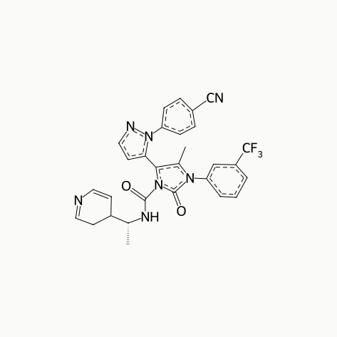 Cc1c(-c2ccnn2-c2ccc(C#N)cc2)n(C(=O)N[C@H](C)C2C=CN=CC2)c(=O)n1-c1cccc(C(F)(F)F)c1